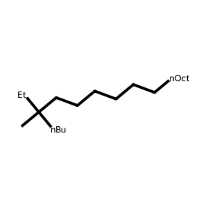 CCCCCCCCCCCCCCC(C)(CC)CCCC